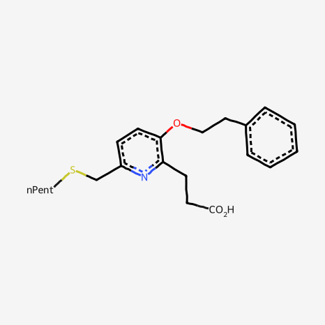 CCCCCSCc1ccc(OCCc2ccccc2)c(CCC(=O)O)n1